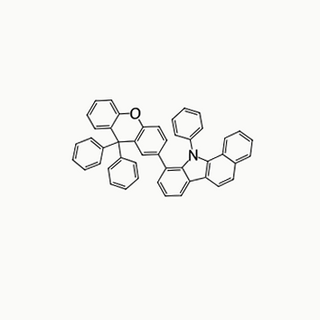 c1ccc(-n2c3c(-c4ccc5c(c4)C(c4ccccc4)(c4ccccc4)c4ccccc4O5)cccc3c3ccc4ccccc4c32)cc1